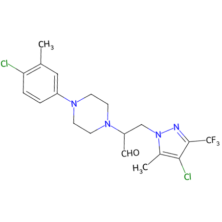 Cc1cc(N2CCN(C(C=O)Cn3nc(C(F)(F)F)c(Cl)c3C)CC2)ccc1Cl